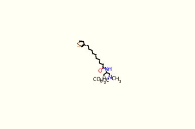 CN(C)CC(CC(=O)O)NC(=O)CCCCCCCCCc1ccsc1